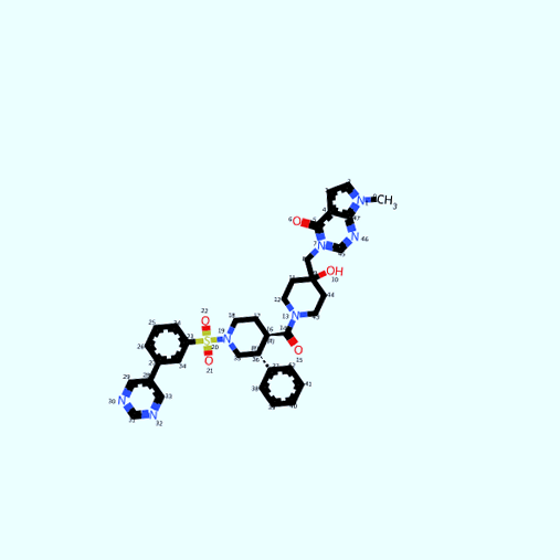 Cn1ccc2c(=O)n(CC3(O)CCN(C(=O)[C@@H]4CCN(S(=O)(=O)c5cccc(-c6cncnc6)c5)C[C@H]4c4ccccc4)CC3)cnc21